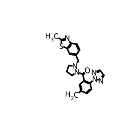 Cc1ccc(-n2nccn2)c(C(=O)N2CCCN2Cc2ccc3nc(C)sc3c2)c1